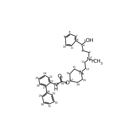 CN(CCC(O)c1ccccc1)CCN1CCC(OC(=O)Nc2ccccc2-c2ccccc2)CC1